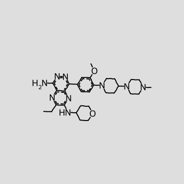 CCc1nc2c(N)nnc(-c3ccc(N4CCC(N5CCN(C)CC5)CC4)c(OC)c3)c2nc1NC1CCOCC1